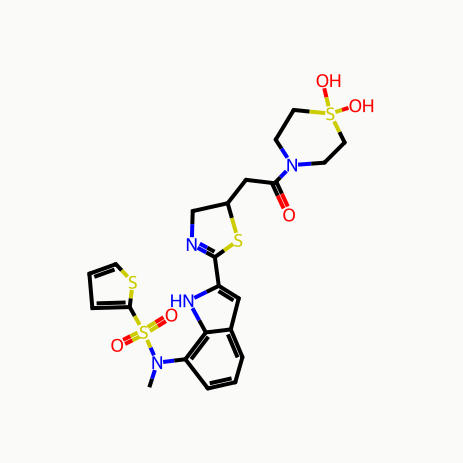 CN(c1cccc2cc(C3=NCC(CC(=O)N4CCS(O)(O)CC4)S3)[nH]c12)S(=O)(=O)c1cccs1